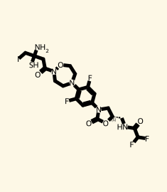 NC(S)(CI)CC(=O)N1CCN(c2c(F)cc(N3C[C@H](CNC(=O)C(F)F)OC3=O)cc2F)CCO1